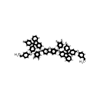 C=CC1C=CC(OC2C=CC(C3(C4=CCC(F)C=C4)C4=C(C=CCC4)C4CCC(N(c5ccc(F)c(F)c5)c5ccc6c(c5)OC5CC(N(c7ccc(F)c(F)c7)c7ccc8c(c7)C(C7C=CC(OC9C=CC(C=C)CC9)=CC7)(C7C=CC(F)CC7)C7=C8CCCC7)C=CC65)=CC43)CC2)=CC1